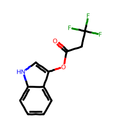 O=C(CC(F)(F)F)Oc1c[nH]c2ccccc12